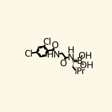 CC(C)C[C@H](NC(=O)CNC(=O)c1ccc(Cl)cc1Cl)B(O)O